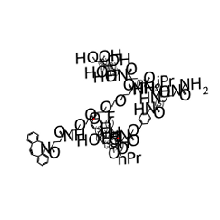 CCCC1O[C@@H]2C[C@H]3[C@@H]4C[C@H](F)C5=CC(=O)C=C[C@]5(C)[C@@]4(F)[C@@H](O)C[C@]3(C)[C@]2(C(=O)CNC(=O)OCc2ccc(NC(=O)[C@H](CCCNC(N)=O)NC(=O)[C@@H](NC(=O)[C@@H](CCC(=O)NC[C@H](O)[C@@H](O)[C@H](O)[C@H](O)CO)NC(=O)CCOCCOCCOCCOCCNC(=O)CCC(=O)N3Cc4ccccc4C#Cc4ccccc43)C(C)C)cc2)O1